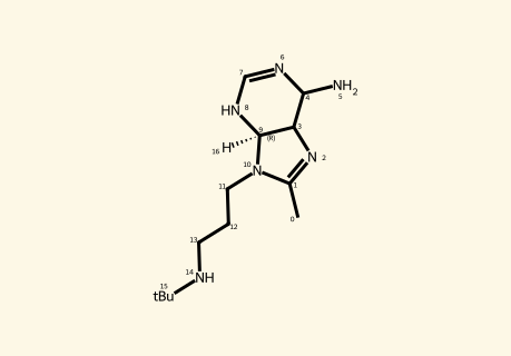 CC1=NC2C(N)N=CN[C@@H]2N1CCCNC(C)(C)C